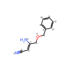 N#C/C=C(\N)COCc1ccccc1